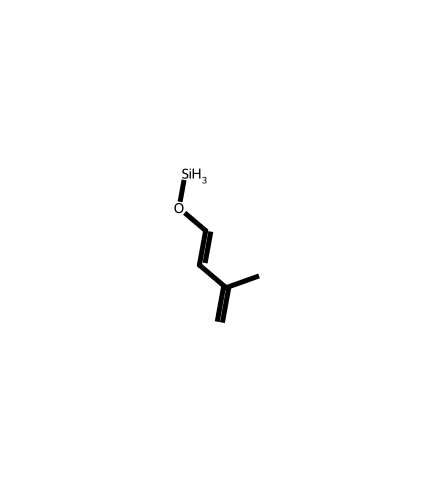 C=C(C)C=CO[SiH3]